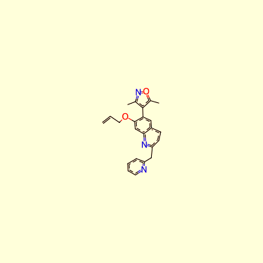 C=CCOc1cc2nc(Cc3ccccn3)ccc2cc1-c1c(C)noc1C